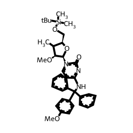 COc1ccc(C(Nc2ccn([C@@H]3O[C@H](CO[Si](C)(C)C(C)(C)C)C(C)[C@@H]3OC)c(=O)n2)(c2ccccc2)c2ccccc2)cc1